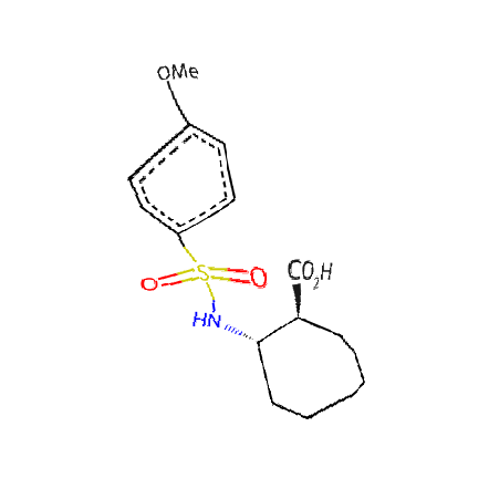 COc1ccc(S(=O)(=O)N[C@H]2CCCC[C@@H]2C(=O)O)cc1